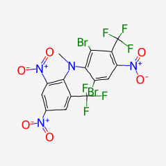 CN(c1c([N+](=O)[O-])cc([N+](=O)[O-])cc1C(F)(F)F)c1c(Br)cc([N+](=O)[O-])c(C(F)(F)F)c1Br